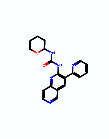 O=C(Nc1nc2ccncc2cc1-c1ccccn1)NC1CCCCO1